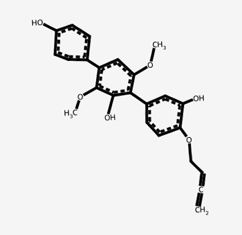 C=C=CCOc1ccc(-c2c(OC)cc(-c3ccc(O)cc3)c(OC)c2O)cc1O